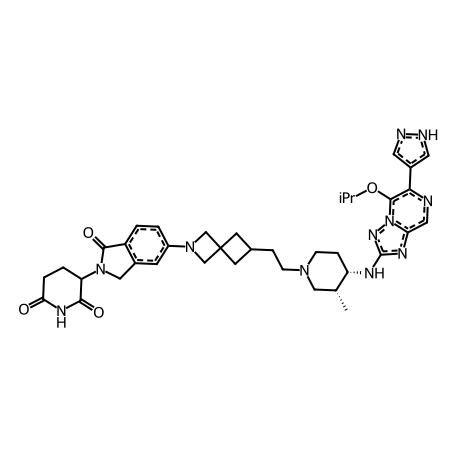 CC(C)Oc1c(-c2cn[nH]c2)ncc2nc(N[C@H]3CCN(CCC4CC5(C4)CN(c4ccc6c(c4)CN(C4CCC(=O)NC4=O)C6=O)C5)C[C@H]3C)nn12